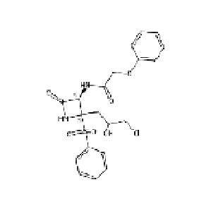 O=C(COc1ccccc1)N[C@@H]1C(=O)N[C@@]1(CC(O)CCl)S(=O)(=O)c1ccccc1